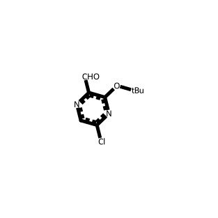 CC(C)(C)Oc1nc(Cl)cnc1C=O